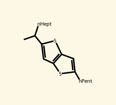 CCCC[CH]CCC(C)c1cc2sc(CCCCC)cc2s1